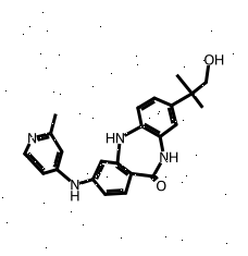 Cc1cc(Nc2ccc3c(c2)Nc2ccc(C(C)(C)CO)cc2NC3=O)ccn1